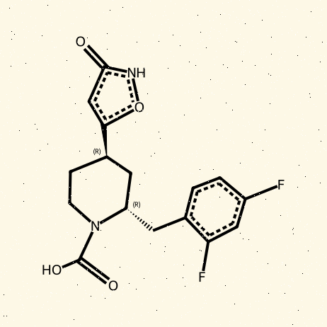 O=C(O)N1CC[C@@H](c2cc(=O)[nH]o2)C[C@@H]1Cc1ccc(F)cc1F